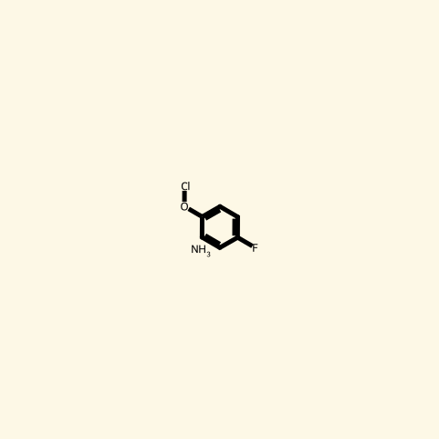 Fc1ccc(OCl)cc1.N